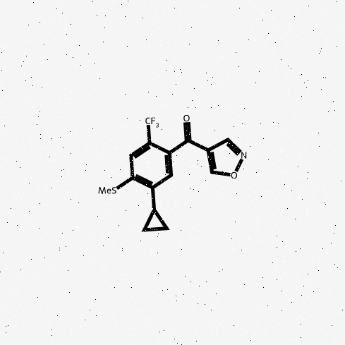 CSc1cc(C(F)(F)F)c(C(=O)c2cnoc2)cc1C1CC1